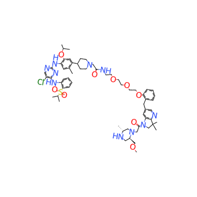 COC[C@H]1CN[C@H](C)CN1CC(=O)N1CC(C)(C)c2ncc(Cc3ccccc3OCCOCCOCCNC(=O)CN3CCC(c4cc(OC(C)C)c(Nc5ncc(Cl)c(Nc6ccccc6S(=O)(=O)C(C)C)n5)cc4C)CC3)cc21